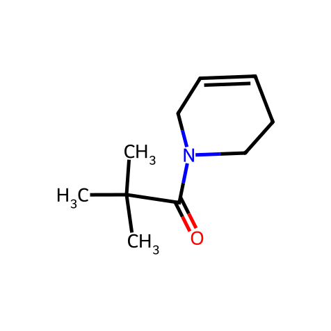 CC(C)(C)C(=O)N1CC=CCC1